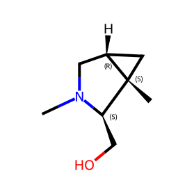 CN1C[C@@H]2C[C@]2(C)[C@H]1CO